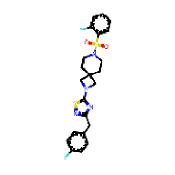 O=S(=O)(c1ccccc1F)N1CCC2(CC1)CN(c1nc(Cc3ccc(F)cc3)ns1)C2